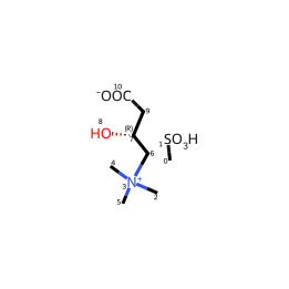 CS(=O)(=O)O.C[N+](C)(C)C[C@H](O)CC(=O)[O-]